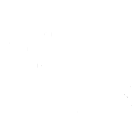 CC1=C(/C=C/C(C)=C/C=C/C2=CC=C(C=O)C(c3ccc([N+](=O)[O-])cc3)C2)C(C)(C)CCC1